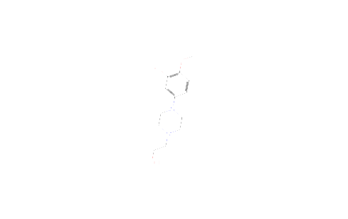 CCOc1ccc(N2CCN(CCO)CC2)cc1O